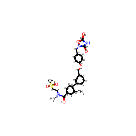 Cc1cc(C(=O)N(C)CCS(C)(=O)=O)ccc1-c1cccc(COc2ccc(Cn3oc(=O)[nH]c3=O)cc2)c1